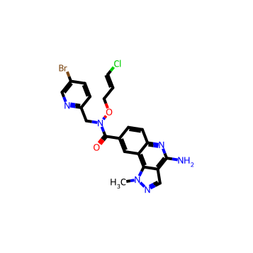 Cn1ncc2c(N)nc3ccc(C(=O)N(Cc4ccc(Br)cn4)OC/C=C/Cl)cc3c21